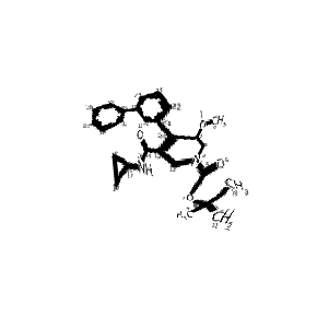 COC1CN(C(=O)OC(C)(C)C)CC(C(=O)NC2CC2)=C1c1cccc(-c2ccccc2)c1